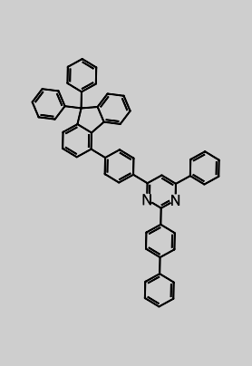 c1ccc(-c2ccc(-c3nc(-c4ccccc4)cc(-c4ccc(-c5cccc6c5-c5ccccc5C6(c5ccccc5)c5ccccc5)cc4)n3)cc2)cc1